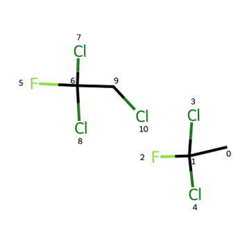 CC(F)(Cl)Cl.FC(Cl)(Cl)CCl